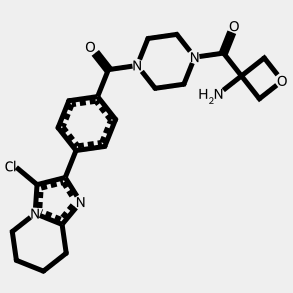 NC1(C(=O)N2CCN(C(=O)c3ccc(-c4nc5n(c4Cl)CCCC5)cc3)CC2)COC1